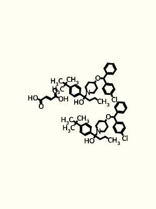 CCCC(O)(c1ccc(C(C)(C)C)cc1)N1CCC(OC(c2ccccc2)c2ccc(Cl)cc2)CC1.CCCC(O)(c1ccc(C(C)(C)C)cc1)N1CCC(OC(c2ccccc2)c2ccc(Cl)cc2)CC1.O=C(O)/C=C/C(=O)O